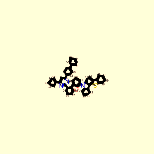 c1ccc(-c2ccc(-c3cc(-c4ccccc4)nc(-c4cccc5oc6c(-n7c8ccccc8c8c9sc%10ccccc%10c9ccc87)cccc6c45)n3)cc2)cc1